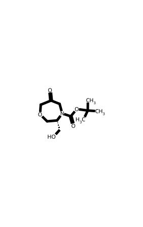 CC(C)(C)OC(=O)N1CC(=O)COC[C@H]1CO